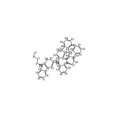 CCCCn1c2c(c3ccccc31)C=C(N(c1ccccc1)c1ccc3c(c1)C1(c4ccccc4-c4ccccc41)c1ccccc1-3)CC2